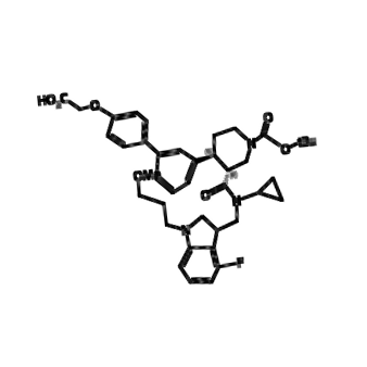 COCCCN1CC(CN(C(=O)[C@H]2CN(C(=O)OC(C)(C)C)CC[C@@H]2c2cccc(-c3ccc(OCC(=O)O)cc3)c2)C2CC2)c2c(F)cccc21